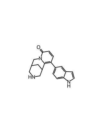 O=c1ccc(-c2ccc3[nH]ccc3c2)c2n1CC1CNCC2C1